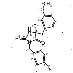 COc1cccc(CC2(C)NC(=N)N(Cc3ccc(Cl)cc3)C2=O)c1